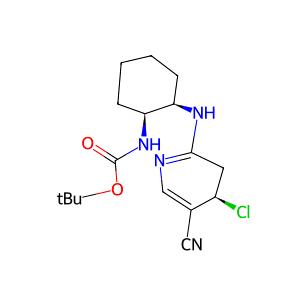 CC(C)(C)OC(=O)N[C@H]1CCCC[C@H]1NC1=NC=C(C#N)[C@H](Cl)C1